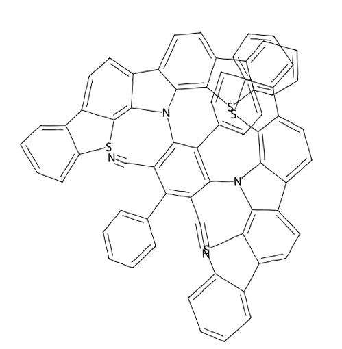 N#Cc1c(-c2ccccc2)c(C#N)c(-n2c3c(ccc4c5ccccc5sc43)c3ccc4c5ccccc5sc4c32)c(-c2ccccc2)c1-n1c2c(ccc3c4ccccc4sc32)c2ccc3c4ccccc4sc3c21